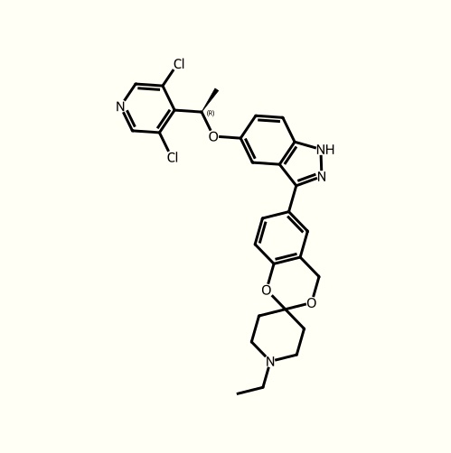 CCN1CCC2(CC1)OCc1cc(-c3n[nH]c4ccc(O[C@H](C)c5c(Cl)cncc5Cl)cc34)ccc1O2